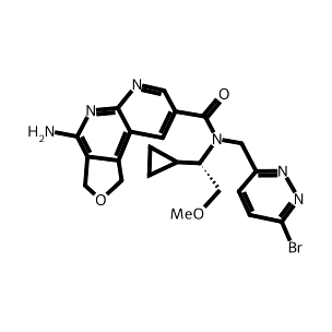 COC[C@H](C1CC1)N(Cc1ccc(Br)nn1)C(=O)c1cnc2nc(N)c3c(c2c1)COC3